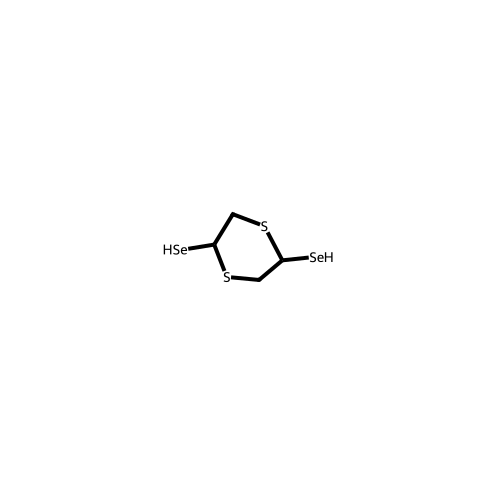 [SeH]C1CSC([SeH])CS1